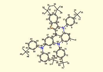 Cc1cc2c3c(c1)N(c1ccc(C(C)(C)C)cc1)c1c(sc4cc5c(cc14)C(C)(C)CCC5(C)C)B3c1ccc(N(c3cccc(C(C)(C)C)c3)c3cccc(C(C)(C)C)c3)cc1N2c1ccc(C(C)(C)C)cc1